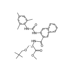 COC(=O)[C@H](COCC(C)(C)C)NC(=O)c1cc2ccccc2cc1NC(=O)Nc1c(C)cc(C)cc1C